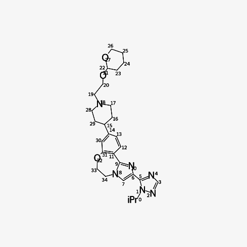 CC(C)n1ncnc1-c1cn2c(n1)-c1ccc(C3CCN(CCOC4CCCCO4)CC3)cc1OCC2